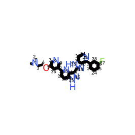 CN(C)CCOc1cncc(-c2ccc3[nH]nc(-c4nc5c(-c6cccc(F)c6)nccc5[nH]4)c3n2)c1